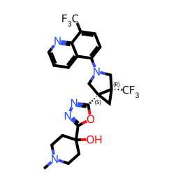 CN1CCC(O)(c2nnc([C@]34CN(c5ccc(C(F)(F)F)c6ncccc56)C[C@@]3(C(F)(F)F)C4)o2)CC1